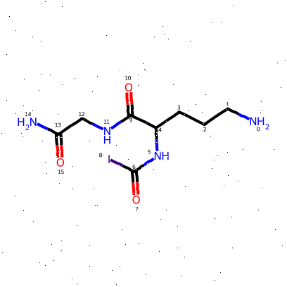 NCCCC(NC(=O)I)C(=O)NCC(N)=O